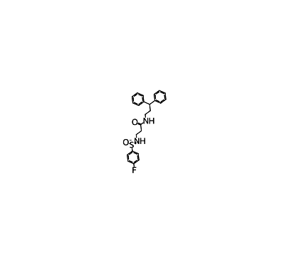 O=C(CCN[S+]([O-])c1ccc(F)cc1)NCCC(c1ccccc1)c1ccccc1